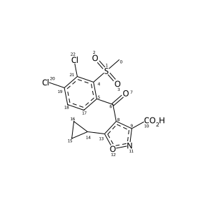 CS(=O)(=O)c1c(C(=O)c2c(C(=O)O)noc2C2CC2)ccc(Cl)c1Cl